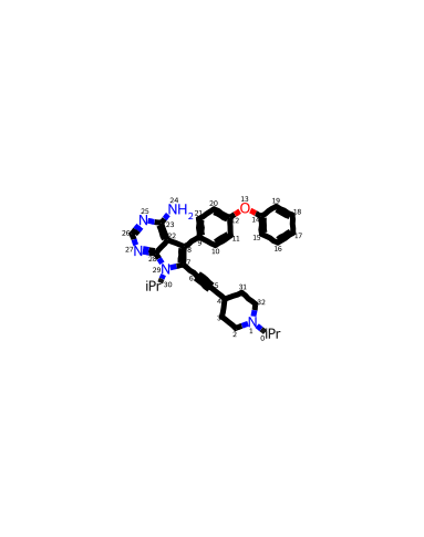 CC(C)N1CCC(C#Cc2c(-c3ccc(Oc4ccccc4)cc3)c3c(N)ncnc3n2C(C)C)CC1